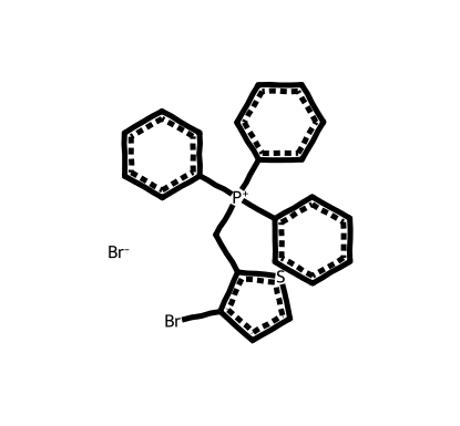 Brc1ccsc1C[P+](c1ccccc1)(c1ccccc1)c1ccccc1.[Br-]